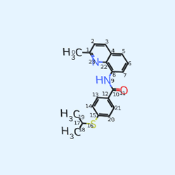 Cc1ccc2cccc(NC(=O)c3ccc(SC(C)C)cc3)c2n1